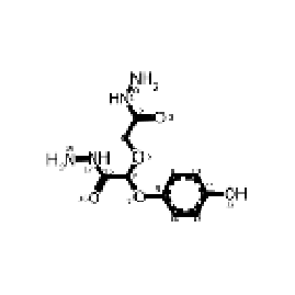 NNC(=O)COC(Oc1ccc(O)cc1)C(=O)NN